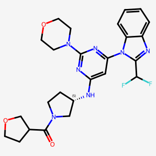 O=C(C1CCOC1)N1CC[C@H](Nc2cc(-n3c(C(F)F)nc4ccccc43)nc(N3CCOCC3)n2)C1